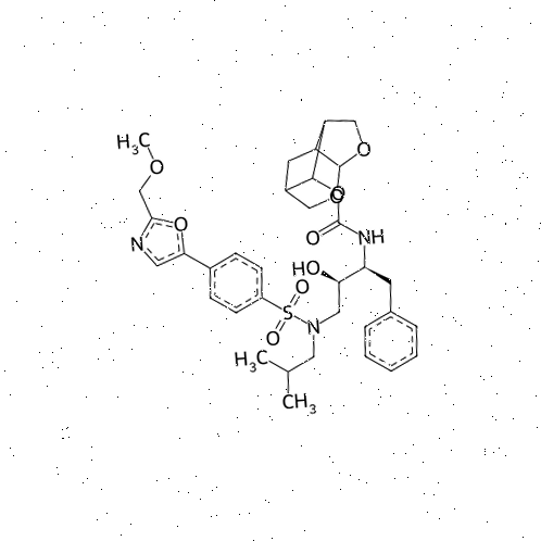 COCc1ncc(-c2ccc(S(=O)(=O)N(CC(C)C)C[C@@H](O)[C@H](Cc3ccccc3)NC(=O)OC3C4COC5OCC3C5C4)cc2)o1